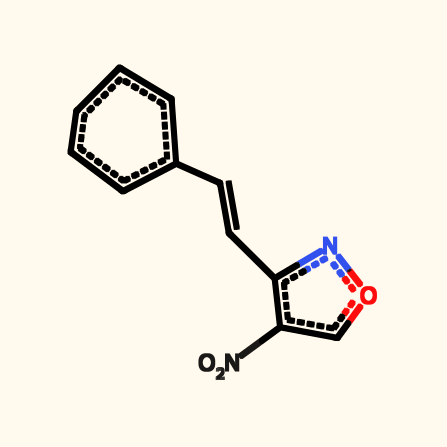 O=[N+]([O-])c1conc1C=Cc1ccccc1